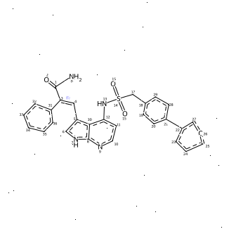 NC(=O)/C(=C/c1c[nH]c2nccc(NS(=O)(=O)Cc3ccc(-c4ccccc4)cc3)c12)c1ccccc1